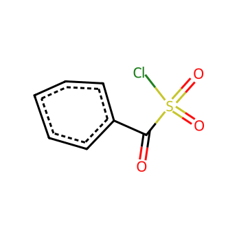 O=C(c1ccccc1)S(=O)(=O)Cl